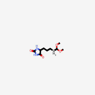 COC(OC)[SiH2]CCCC1NC(=O)NC1=O